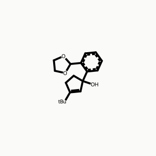 CC(C)(C)C1=CC(O)(c2ccccc2C2OCCO2)CC1